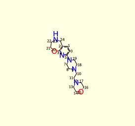 c1cc2c(nc1N1CCN(CCN3CCOCC3)CC1)OCCNC2